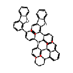 c1ccc(N(c2ccc(-c3cccc4c3oc3ccccc34)cc2)c2ccccc2-c2cccc3cccc(C4CCCCC4)c23)c(-c2cccc3c2oc2ccccc23)c1